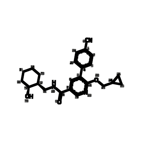 N#Cc1ccc(-c2cc(C(=O)NC[C@@H]3CCCC[C@@H]3O)cnc2OCC2CC2)cc1